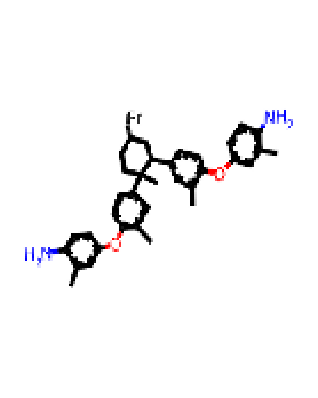 Cc1cc(Oc2ccc(C3CC(C(C)C)CCC3(C)c3ccc(Oc4ccc(N)c(C)c4)c(C)c3)cc2C)ccc1N